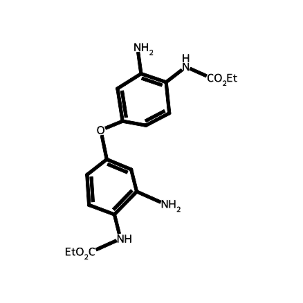 CCOC(=O)Nc1ccc(Oc2ccc(NC(=O)OCC)c(N)c2)cc1N